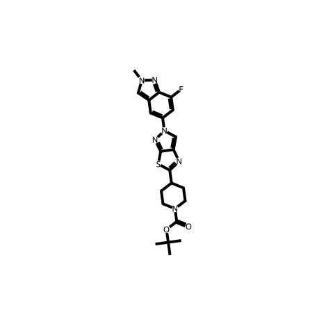 Cn1cc2cc(-n3cc4nc(C5CCN(C(=O)OC(C)(C)C)CC5)sc4n3)cc(F)c2n1